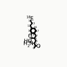 CC(=O)[C@@H](N)CC(Cc1ccc(CCC[18F])cc1)C(=O)O